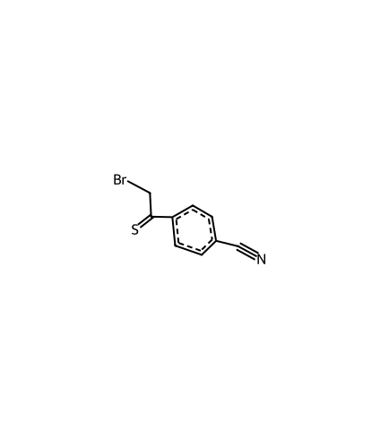 N#Cc1ccc(C(=S)CBr)cc1